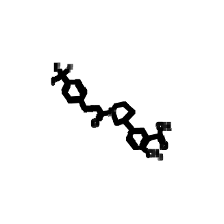 Cc1ccc(C2CCCN(C(=O)C=Cc3ccc(C(F)(F)F)cc3)C2)cc1C(=O)O